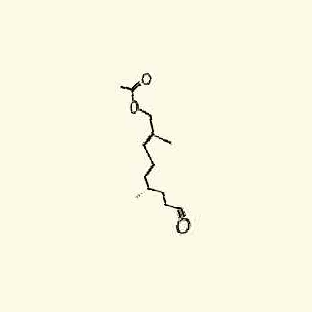 CC(=O)OC[C@@H](C)CCC[C@@H](C)CCC=O